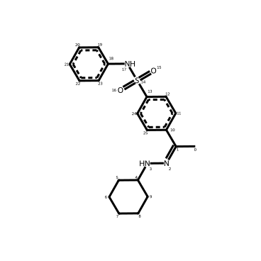 CC(=NNC1CCCCC1)c1ccc(S(=O)(=O)Nc2ccccc2)cc1